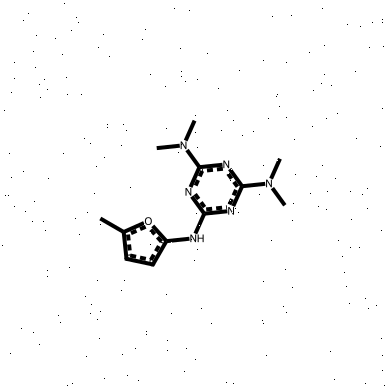 Cc1ccc(Nc2nc(N(C)C)nc(N(C)C)n2)o1